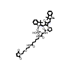 CN1/C(=C/C2=C(N3CCC[C@@H]3C(=O)N[C@@H](CS(=O)(=O)O)C(=O)NCCCCC(=O)NCCOCCN3C(=O)C=CC3=O)C(=C/C3=[N+](C)c4ccccc4C3(C)C)/C2=O)C(C)(C)c2ccccc21